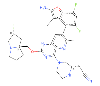 Cc1nc2c(N3CCN[C@@H](CC#N)C3)nc(OC[C@@]34CCCN3C[C@H](F)C4)nc2cc1-c1c(F)cc(F)c2oc(N)c(C)c12